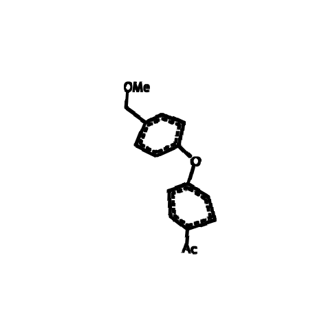 COCc1ccc(Oc2ccc(C(C)=O)cc2)cc1